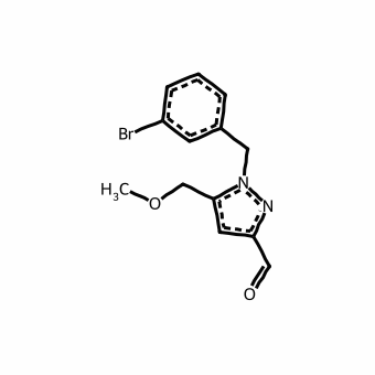 COCc1cc(C=O)nn1Cc1cccc(Br)c1